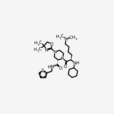 CN(C)CCCC[C@@H](NC1CCCCC1)C(=O)N1CCN(C2=NC(C)(C)CO2)C[C@H]1C(=O)NCc1cccs1